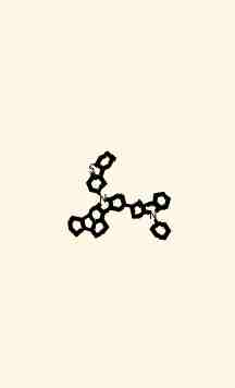 c1ccc(-n2c3ccccc3c3cc(-c4ccc5c(c4)c4c6cccc7c6c(cc4n5-c4ccc5sc6ccccc6c5c4)-c4ccccc4-7)ccc32)cc1